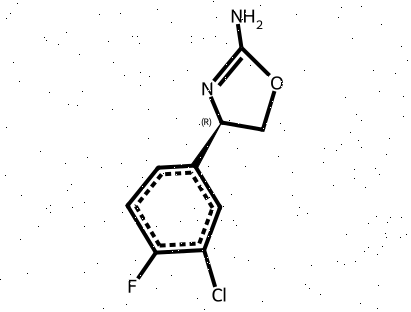 NC1=N[C@H](c2ccc(F)c(Cl)c2)CO1